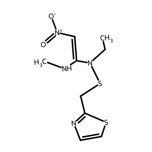 CCN(SCc1nccs1)C(=C[N+](=O)[O-])NC